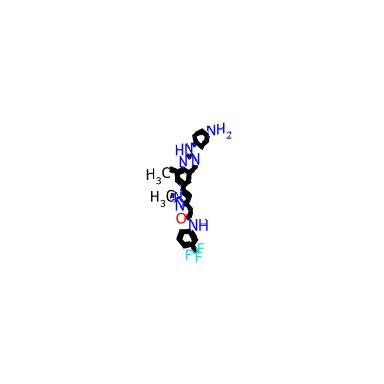 CCc1cc(-c2cc(CC(=O)Nc3cccc(C(F)(F)F)c3)nn2C)cc2cnc(NC3CCC(N)CC3)nc12